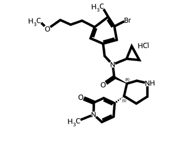 COCCCc1cc(CN(C(=O)[C@H]2CNCC[C@@H]2c2ccn(C)c(=O)c2)C2CC2)cc(Br)c1C.Cl